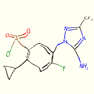 Nc1nc(C(F)(F)F)nn1-c1cc(S(=O)(=O)Cl)c(C2CC2)cc1F